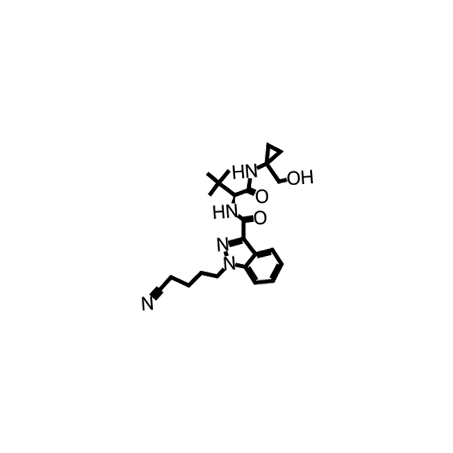 CC(C)(C)[C@H](NC(=O)c1nn(CCCCC#N)c2ccccc12)C(=O)NC1(CO)CC1